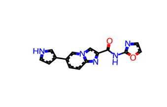 O=C(Nc1ncco1)c1cn2cc(-c3cc[nH]c3)ccc2n1